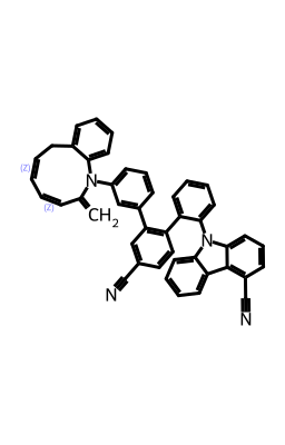 C=C1/C=C\C=C/Cc2ccccc2N1c1cccc(-c2cc(C#N)ccc2-c2ccccc2-n2c3ccccc3c3c(C#N)cccc32)c1